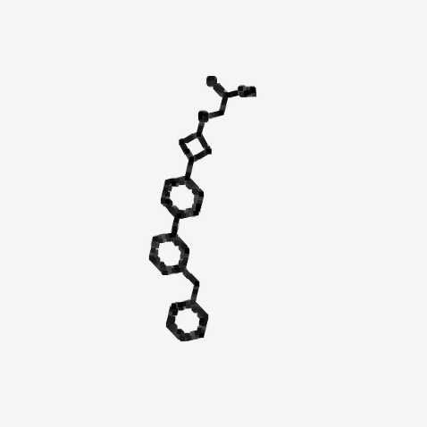 O=C(O)COC1CC(c2ccc(-c3cccc(Cc4ccccc4)c3)cc2)C1